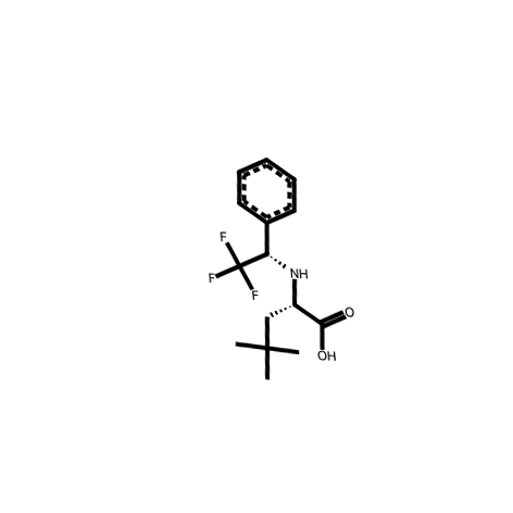 CC(C)(C)C[C@H](N[C@@H](c1ccccc1)C(F)(F)F)C(=O)O